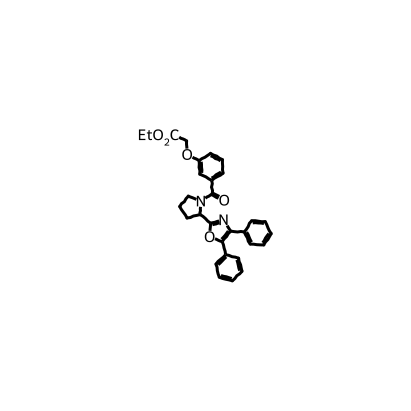 CCOC(=O)COc1cccc(C(=O)N2CCCC2c2nc(-c3ccccc3)c(-c3ccccc3)o2)c1